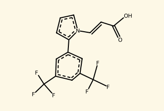 O=C(O)C=Cn1cccc1-c1cc(C(F)(F)F)cc(C(F)(F)F)c1